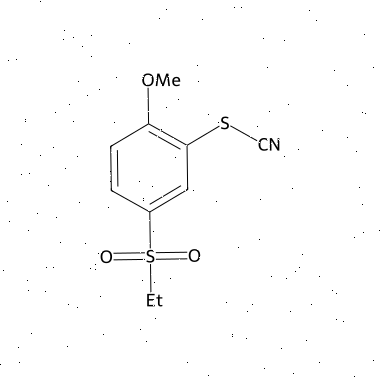 CCS(=O)(=O)c1ccc(OC)c(SC#N)c1